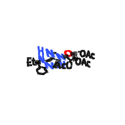 CC[C@@H](Nc1ncnc2c1ncn2[C@@H]1O[C@H](COC(C)=O)[C@H](OC(C)=O)C1OC(C)=O)c1ccccc1